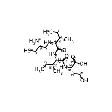 CC[C@H](C)[C@H](NC[C@@H](N)CS)C(=O)N[C@H](C(=O)N[C@@H](CCO)C(=O)O)[C@@H](C)CC